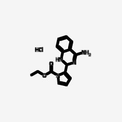 CCOC(=O)n1cccc1C1N=C(N)c2ccccc2N1.Cl